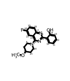 COC1CCN(c2nc(-c3ccccc3O)nc3ccc(F)cc23)CC1